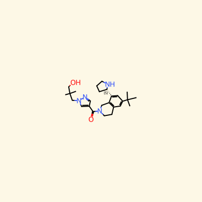 CC(C)(CO)Cn1cc(C(=O)N2CCc3cc(C(C)(C)C)cc([C@@H]4CCCN4)c3C2)cn1